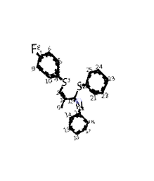 CC(=CSc1ccc(F)cc1)/C(=N\c1ccccc1)Sc1ccccc1